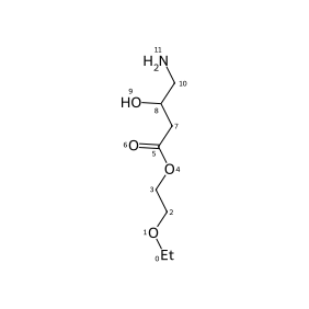 CCOCCOC(=O)CC(O)CN